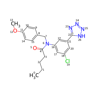 CCCCC(=O)N(Cc1ccc(OC)cc1)c1cc(Cl)cc(-c2nnn[nH]2)c1